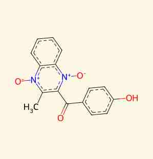 Cc1c(C(=O)c2ccc(O)cc2)[n+]([O-])c2ccccc2[n+]1[O-]